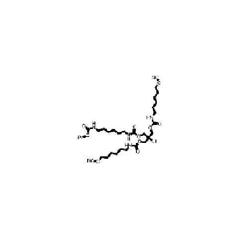 CCC(COC(=O)NCCCCCCNC(=O)OC(C)C)(COC(=O)NCCCCCCOC#N)COC(=O)NCCCCCCOC#N